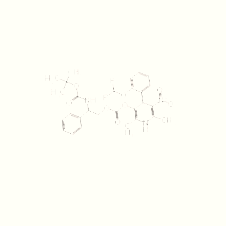 CC1=C(OC(=O)OCC(NC(=O)OC(C)(C)C)c2ccccc2)C(c2ccccc2OC(F)F)C([N+](=O)[O-])=C(C)N1